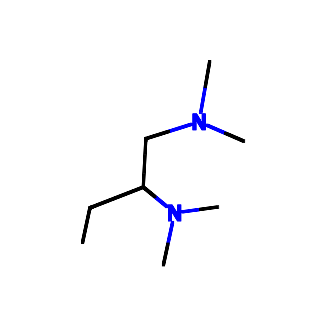 CCC(CN(C)C)N(C)C